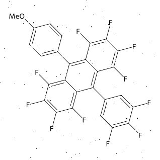 COc1ccc(-c2c3c(F)c(F)c(F)c(F)c3c(-c3cc(F)c(F)c(F)c3)c3c(F)c(F)c(F)c(F)c23)cc1